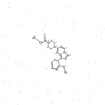 CCOc1ncccc1-c1cnn2ccc(N3CCN(C(=O)OC(C)C)CC3)nc12